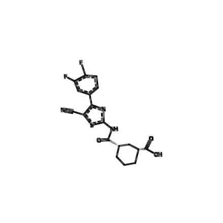 N#Cc1sc(NC(=O)[C@H]2CCC[C@@H](C(=O)O)C2)nc1-c1ccc(F)c(F)c1